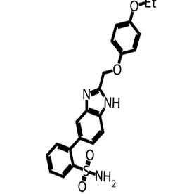 CCOc1ccc(OCc2nc3cc(-c4ccccc4S(N)(=O)=O)ccc3[nH]2)cc1